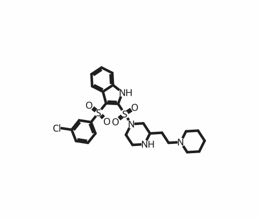 O=S(=O)(c1cccc(Cl)c1)c1c(S(=O)(=O)N2CCNC(CCN3CCCCC3)C2)[nH]c2ccccc12